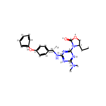 CCC1COC(=O)N1c1nc(N[C@@H](C)c2ccc(Oc3ccccc3)cc2)nc(N(C)C)n1